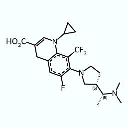 C[C@H]([C@H]1CCN(c2c(F)cc3c(c2C(F)(F)F)N(C2CC2)C=C(C(=O)O)C3)C1)N(C)C